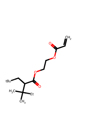 C=CC(=O)OCCOC(=O)C(CC(C)(C)C)C(C)(C)CC